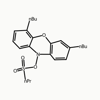 CCCCc1ccc2c(c1)Oc1c(CCCC)cccc1N2OS(=O)(=O)CCC